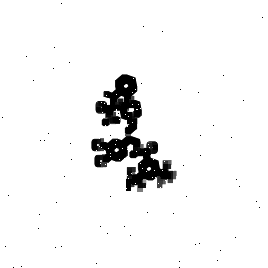 C[C@H](NC(=O)N(C)C)c1ccccc1N1CCN(CC[C@H](CN(C)C(=O)c2cc(C(F)(F)F)cc(C(F)(F)F)c2)c2ccc(Cl)c(Cl)c2)CC1